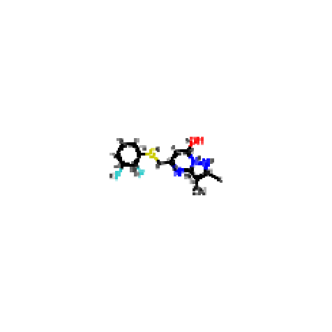 Cc1nn2c(O)cc(CSc3cccc(F)c3F)nc2c1C#N